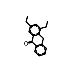 CCc1cc(CC)c2c(c1)C(=O)c1ccccc1C2